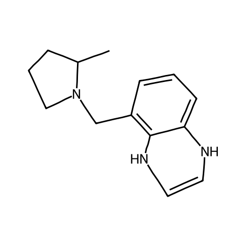 CC1CCCN1Cc1cccc2c1NC=CN2